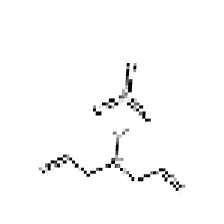 C=CC[S+]([O-])CC=C.O=S(=O)=O